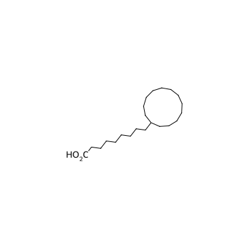 O=C(O)CCCCCCCCC1CCCCCCCCCCCC1